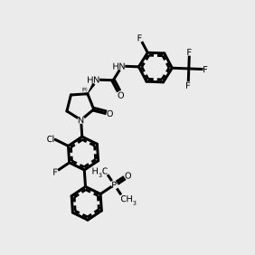 CP(C)(=O)c1ccccc1-c1ccc(N2CC[C@@H](NC(=O)Nc3ccc(C(F)(F)F)cc3F)C2=O)c(Cl)c1F